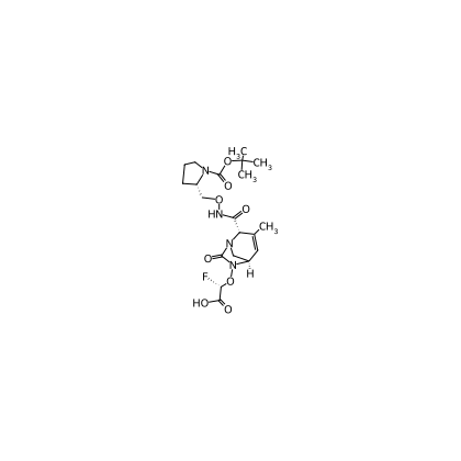 CC1=C[C@@H]2CN(C(=O)N2O[C@@H](F)C(=O)O)[C@@H]1C(=O)NOC[C@@H]1CCCN1C(=O)OC(C)(C)C